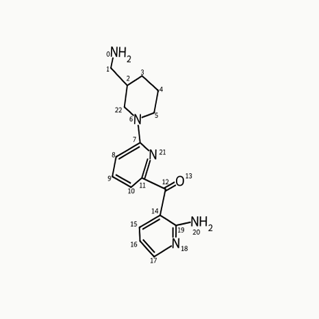 NCC1CCCN(c2cccc(C(=O)c3cccnc3N)n2)C1